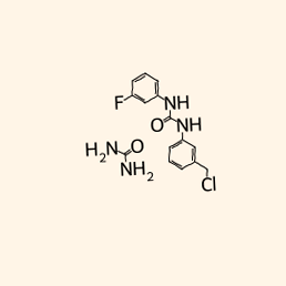 NC(N)=O.O=C(Nc1cccc(F)c1)Nc1cccc(CCl)c1